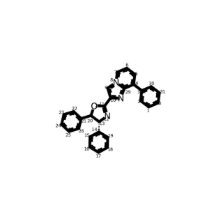 c1ccc(-c2cccn3cc(C4=N[C@H](c5ccccc5)C(c5ccccc5)O4)nc23)cc1